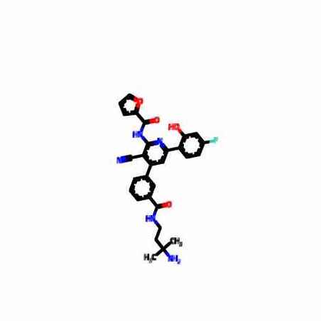 CC(C)(N)CCNC(=O)c1cccc(-c2cc(-c3ccc(F)cc3O)nc(NC(=O)c3ccco3)c2C#N)c1